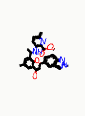 COC(=O)c1nc(C)ccc1NC(C)c1cc(C)cc2c(=O)cc(-c3ccc4nn(C)cc4c3)oc12